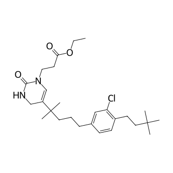 CCOC(=O)CCN1C=C(C(C)(C)CCCc2ccc(CCC(C)(C)C)c(Cl)c2)CNC1=O